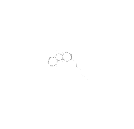 O=C(O)CCCOc1ccc2oc3ccccc3c2c1